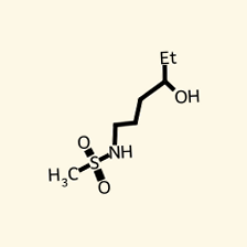 [CH2]CC(O)CCCNS(C)(=O)=O